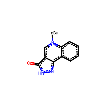 CCCCn1cc2c(=O)[nH]nc-2c2ccccc21